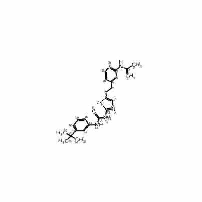 C=C(C)Nc1cc(CCc2cnc(NC(=O)Nc3cccc(C(C)(C)C)c3)s2)ccn1